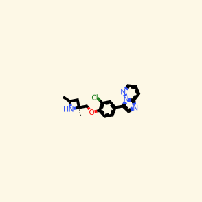 CC1C[C@@](C)(COc2ccc(-c3cnc4cccnn34)cc2Cl)N1